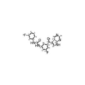 O=C(Nc1cccc(F)c1)Nc1cc(F)cc(C(=O)C2=CNC3N=CN=CC23)c1